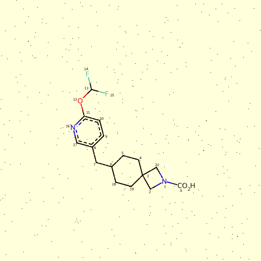 O=C(O)N1CC2(CCC(Cc3ccc(OC(F)F)nc3)CC2)C1